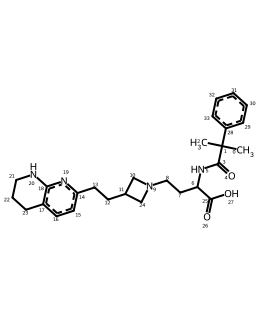 CC(C)(C(=O)NC(CCN1CC(CCc2ccc3c(n2)NCCC3)C1)C(=O)O)c1ccccc1